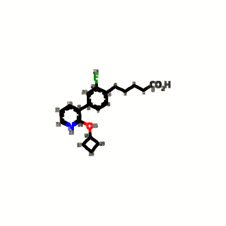 O=C(O)CCCCc1ccc(-c2cccnc2OC2CCC2)cc1F